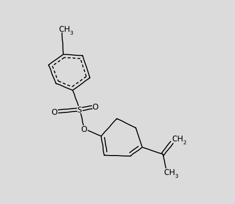 C=C(C)C1=CC=C(OS(=O)(=O)c2ccc(C)cc2)CC1